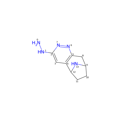 NNc1cc2c(nn1)CC1CCC2N1